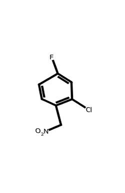 O=[N+]([O-])Cc1ccc(F)cc1Cl